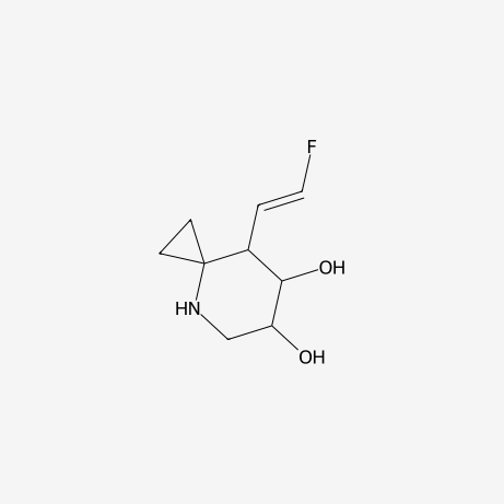 OC1CNC2(CC2)C(C=CF)C1O